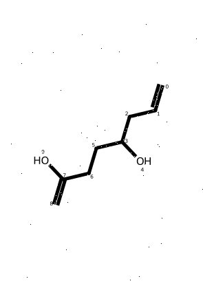 C=CCC(O)CCC(=C)O